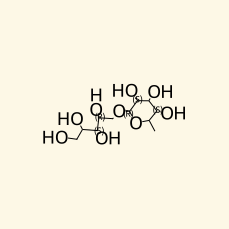 CC1O[C@@H](OC[C@@H](O)[C@@H](O)C(O)CO)[C@@H](O)C(O)[C@@H]1O